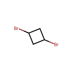 Br[C]1CC(Br)C1